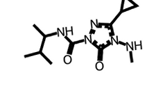 CNn1c(C2CC2)nn(C(=O)NC(C)C(C)C)c1=O